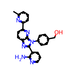 Cc1cccc(-c2ccc3nc(-c4cccnc4N)n(-c4ccc(CO)cc4)c3n2)n1